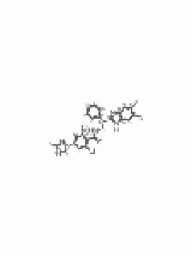 Cc1ncn(-c2cc(Cl)c(C(=O)NC[C@@H](c3ccccc3)c3nc4cc(C)c(C)cc4[nH]3)c(Cl)c2)n1